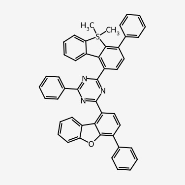 CS1(C)c2ccccc2-c2c(-c3nc(-c4ccccc4)nc(-c4ccc(-c5ccccc5)c5oc6ccccc6c45)n3)ccc(-c3ccccc3)c21